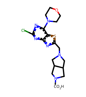 O=C(O)N1CC2CN(Cc3nc4nc(Cl)nc(N5CCOCC5)c4s3)CC2C1